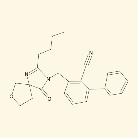 CCCCC1=NC2(CCOC2)C(=O)N1Cc1cccc(-c2ccccc2)c1C#N